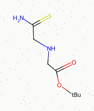 CC(C)(C)OC(=O)CNCC(N)=S